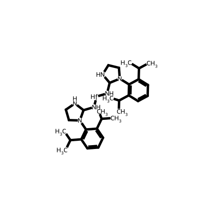 CC(C)c1cccc(C(C)C)c1N1CCNC1[NH][Hf][NH]C1NCCN1c1c(C(C)C)cccc1C(C)C